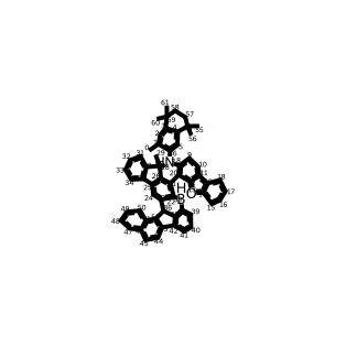 Cc1cc2c(cc1Nc1ccc3c(oc4ccccc43)c1-c1c3c(cc4c1C(C)(C)c1ccccc1-4)C1c4c(cccc4-c4ccc5ccccc5c41)B3)C(C)(C)CCC2(C)C